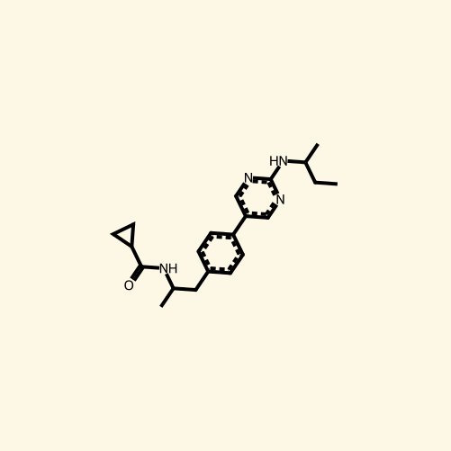 CCC(C)Nc1ncc(-c2ccc(CC(C)NC(=O)C3CC3)cc2)cn1